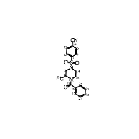 CCC1CN(S(=O)(=O)c2ccc(C#N)cc2)CCN1C(=O)c1ccccc1